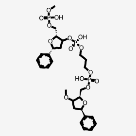 COC1C[C@H](c2ccccc2)O[C@@H]1COP(=O)(O)OCCCOP(=O)(O)OC1C[C@H](c2ccccc2)O[C@@H]1COP(=O)(O)OC